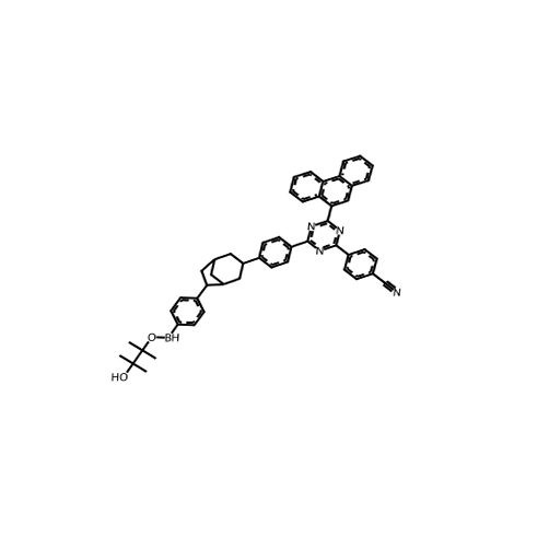 CC(C)(O)C(C)(C)OBc1ccc(C2CC3CC(c4ccc(-c5nc(-c6ccc(C#N)cc6)nc(-c6cc7ccccc7c7ccccc67)n5)cc4)CC2C3)cc1